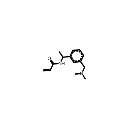 C=CC(=O)NC(C)c1cccc(CN(C)C)c1